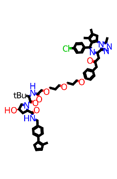 CC1=C(c2ccc(CNC(=O)C3C[C@@H](O)CN3C(=O)C(NC(=O)COCCCOCCCOc3ccc(CC(=O)CC4N=C(c5ccc(Cl)cc5)C5=C(CC(C)=C5C)n5c(C)nnc54)cc3)C(C)(C)C)cc2)CC=C1